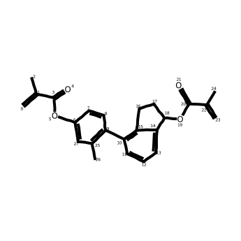 C=C(C)C(=O)Oc1ccc(-c2cccc3c2CCC3OC(=O)C(=C)C)c(C)c1